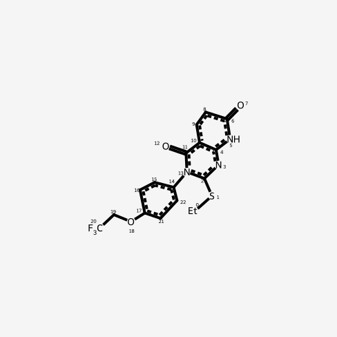 CCSc1nc2[nH]c(=O)ccc2c(=O)n1-c1ccc(OCC(F)(F)F)cc1